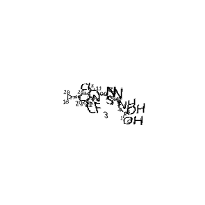 OC[C@H](O)CNc1nnc(-c2cc(Cl)c3cc(C4CC4)cc(C(F)(F)F)c3n2)s1